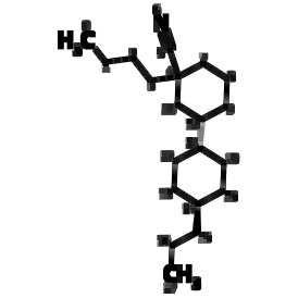 CCCCC1(C#N)CCCC([C@H]2CC[C@H](CCC)CC2)C1